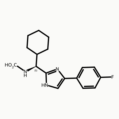 O=C(O)N[C@H](c1nc(-c2ccc(F)cc2)c[nH]1)C1CCCCC1